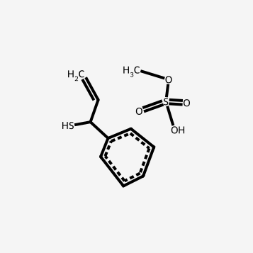 C=CC(S)c1ccccc1.COS(=O)(=O)O